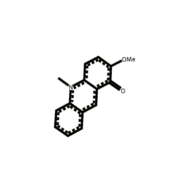 COc1ccc2n(C)c3ccccc3cc-2c1=O